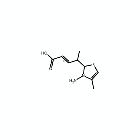 CC1=CSC(C(C)/C=C/C(=O)O)N1N